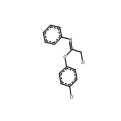 ClCC(=Nc1ccccc1)Oc1ccc(Cl)cc1